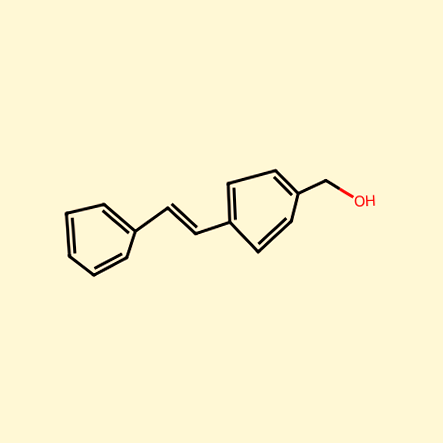 OCc1ccc(C=Cc2ccccc2)cc1